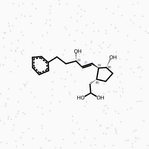 OC(O)C[C@H]1CC[C@@H](O)[C@@H]1/C=C/[C@@H](O)CCc1ccccc1